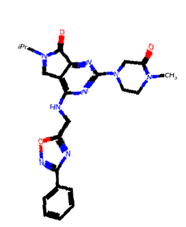 CC(C)N1Cc2c(NCc3nc(-c4ccccc4)no3)nc(N3CCN(C)C(=O)C3)nc2C1=O